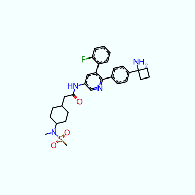 CN(C1CCC(CC(=O)Nc2cnc(-c3ccc(C4(N)CCC4)cc3)c(-c3ccccc3F)c2)CC1)S(C)(=O)=O